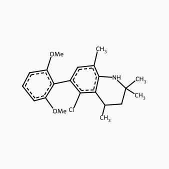 COc1cccc(OC)c1-c1cc(C)c2c(c1Cl)C(C)CC(C)(C)N2